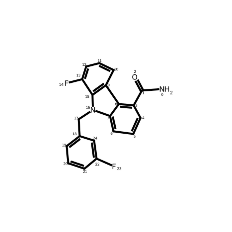 NC(=O)c1cccc2c1c1[c]ccc(F)c1n2Cc1cccc(F)c1